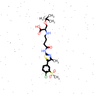 Cc1nc(NC(=O)CCCNC(COC(C)(C)C)C(=O)O)sc1-c1ccc(Cl)c(S(C)(=O)=O)c1